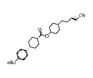 CCCCc1ccc([C@H]2CC[C@H](C(=O)OC3CCC(CC/C=C/C#N)CC3)CC2)cc1